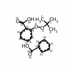 CC(C)(C)OOc1ccccc1C(=O)O.O=C(O)c1ccccc1